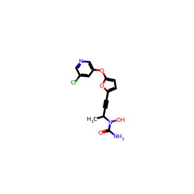 CC(C#Cc1ccc(Oc2cncc(Cl)c2)o1)N(O)C(N)=O